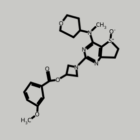 COc1cccc(C(=O)OC2CN(c3nc4c(c(N(C)C5CCOCC5)n3)[S+]([O-])CC4)C2)c1